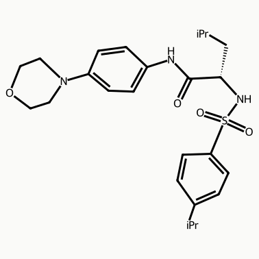 CC(C)C[C@H](NS(=O)(=O)c1ccc(C(C)C)cc1)C(=O)Nc1ccc(N2CCOCC2)cc1